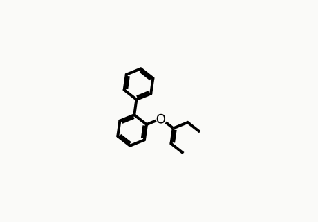 CC=C(CC)Oc1ccccc1-c1ccccc1